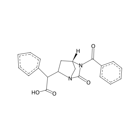 O=C(O)C(c1ccccc1)C1C[C@H]2CN1C(=O)N2C(=O)c1ccccc1